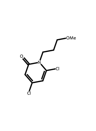 COCCCn1c(Cl)cc(Cl)cc1=O